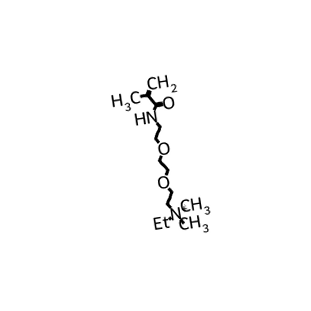 C=C(C)C(=O)NCCOCCOCC[N+](C)(C)CC